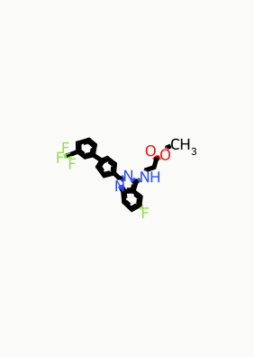 CCOC(=O)CCNc1nc(-c2ccc(-c3cccc(C(F)(F)F)c3)cc2)nc2ccc(F)cc12